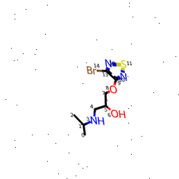 CC(C)NCC(O)COc1nsnc1Br